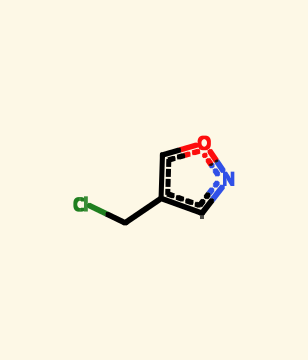 ClCc1[c]noc1